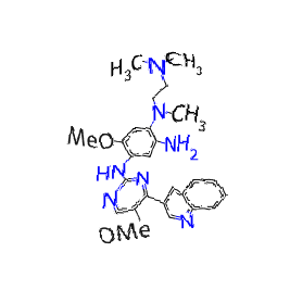 COc1cc(N(C)CCN(C)C)c(N)cc1Nc1ncc(OC)c(-c2cnc3ccccc3c2)n1